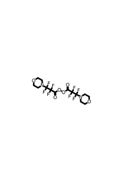 O=C(OOC(=O)C(F)(F)C(F)(F)N1CCOCC1)C(F)(F)C(F)(F)N1CCOCC1